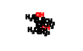 CC(CO)Cc1cc(C(C)(C)C)c(O)c(C(C)(C)C)c1